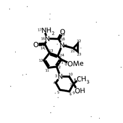 COc1c(N2CCCC(C)(O)C2)ccc2c(=O)n(N)c(=O)n(C3CC3)c12